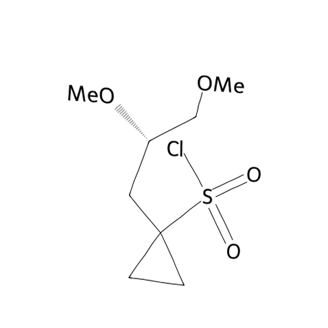 COC[C@H](CC1(S(=O)(=O)Cl)CC1)OC